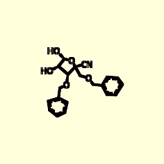 N#C[C@]1(COCc2ccccc2)O[C@H](O)[C@H](O)[C@@H]1OCc1ccccc1